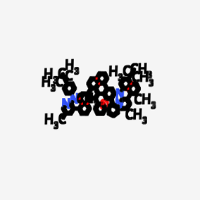 Cc1cnc(N(c2ccc(C(C)(C)C)cc2)c2ccc3c(-c4ccccc4)c(-c4c(-c5ccccc5)cc(N(c5ccc(C(C)(C)C)cc5)c5ncc(C)cc5-c5ccccc5C)c5c4oc4ccccc45)c4ccccc4c3c2)c(-c2ccccc2C)c1